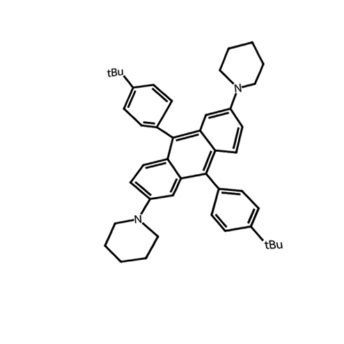 CC(C)(C)c1ccc(-c2c3ccc(N4CCCCC4)cc3c(-c3ccc(C(C)(C)C)cc3)c3ccc(N4CCCCC4)cc23)cc1